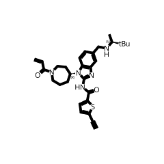 C#Cc1ccc(C(=O)Nc2nc3cc(CN[C@@H](C)C(C)(C)C)ccc3n2[C@@H]2CCCN(C(=O)C=C)CC2)s1